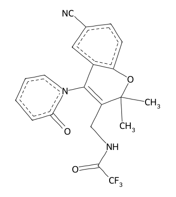 CC1(C)Oc2ccc(C#N)cc2C(n2ccccc2=O)=C1CNC(=O)C(F)(F)F